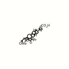 COCC(=O)N(CC1CC1)C[C@@]1(O)CCC[C@]2(C)[C@H](CC[C@@H]3[C@@]4(C)CC=C(c5cn(CC(=O)O)nn5)C(C)(C)[C@@H]4CC[C@]32C)C2=C(C(C)C)C(=O)C[C@@H]21